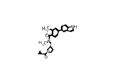 Cc1cc(-c2ccc3[nH]ccc3c2)ccc1C(=O)N(C)C[C@@H]1CCN(C(=O)C2CC2)C1